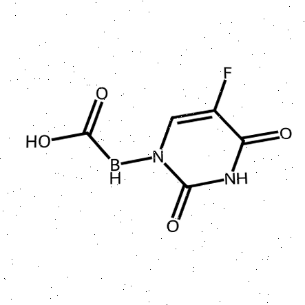 O=C(O)Bn1cc(F)c(=O)[nH]c1=O